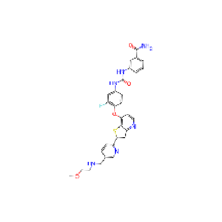 COCCNCc1ccc(C2Cc3nccc(Oc4ccc(NC(=O)Nc5cccc(C(N)=O)c5)cc4F)c3S2)nc1